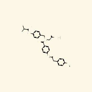 COc1ccc(CC(=O)Nc2ccc(C(=O)N(CC(=O)O)Cc3ccc(OC(=O)C(C)C)cc3)cc2)cc1